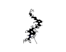 CCCCOCCCc1cccc(-c2csc(NC(=O)c3cc(Cl)c(/C=C(\C)C(=O)O)c(Cl)c3)n2)c1F